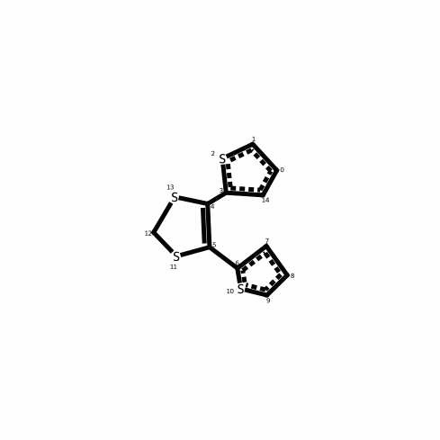 c1csc(C2=C(c3cccs3)SCS2)c1